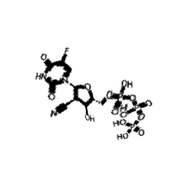 N#C[C@@H]1[C@H](O)[C@@H](COP(=O)(O)OP(=O)(O)OP(=O)(O)O)O[C@H]1n1cc(F)c(=O)[nH]c1=O